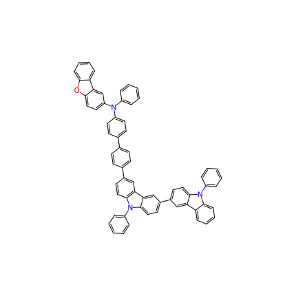 c1ccc(N(c2ccc(-c3ccc(-c4ccc5c(c4)c4cc(-c6ccc7c(c6)c6ccccc6n7-c6ccccc6)ccc4n5-c4ccccc4)cc3)cc2)c2ccc3oc4ccccc4c3c2)cc1